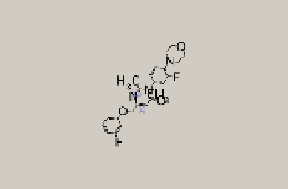 C/C(=N/C(=C\C=O)COc1cccc(F)c1)N(C)c1ccc(N2CCOCC2)c(F)c1